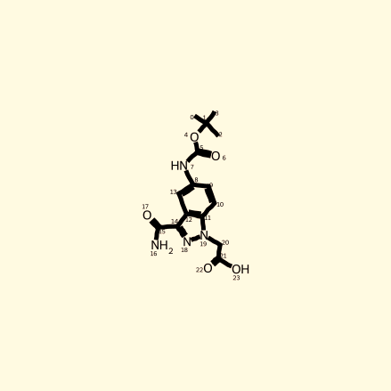 CC(C)(C)OC(=O)Nc1ccc2c(c1)c(C(N)=O)nn2CC(=O)O